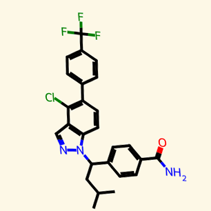 CC(C)CC(c1ccc(C(N)=O)cc1)n1ncc2c(Cl)c(-c3ccc(C(F)(F)F)cc3)ccc21